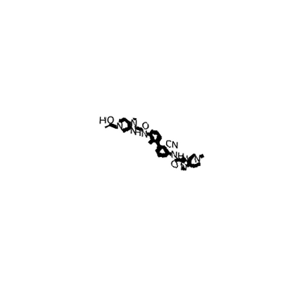 Cc1c(NC(=O)c2nc3c(n2C)CCN(C[C@@H](C)O)C3)cccc1-c1cccc(NC(=O)c2nc3c(n2C)CCN(C)C3)c1C#N